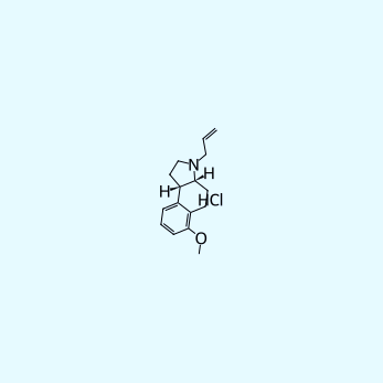 C=CCN1CC[C@H]2c3cccc(OC)c3CC[C@H]21.Cl